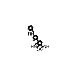 CNC(=O)c1ccc(-c2ccc(NCc3ccccc3F)cc2F)c2c1C(=O)NC2